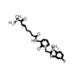 CN(C)C(=O)/C=C/CCCC(=O)Nc1cccn(Cc2nc3cc(F)ccc3n2C)c1=O